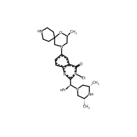 CCC[C@@H](c1nc2ccc(N3C[C@H](C)OC4(CCNCC4)C3)cc2c(=O)n1CC)N1C[C@@H](C)N[C@@H](C)C1